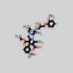 C=CCN(CC1=C(C(=O)OCC)C(c2cccc([N+](=O)[O-])c2)C(C(=O)O)=C(C)N1)CC(C)(C)NCC(O)COc1ccccc1OC